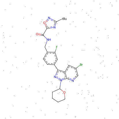 CC(C)(C)c1noc(C(=O)NCc2ccc(-c3nn(C4CCCCO4)c4ncc(Br)cc34)cc2F)n1